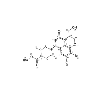 CC1CN(c2nc(=O)n3c4c(c(Br)c(Cl)cc24)OCC3CO)C(C)CN1C(=O)OC(C)(C)C